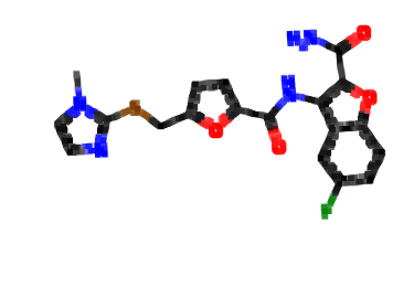 Cn1ccnc1SCc1ccc(C(=O)Nc2c(C(N)=O)oc3ccc(F)cc23)o1